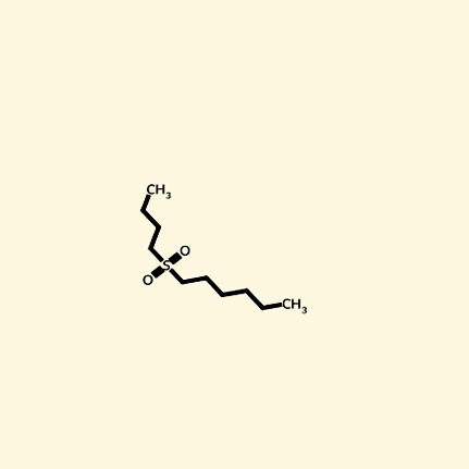 CCCCCCS(=O)(=O)CCCC